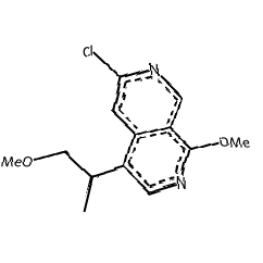 COCC(C)c1cnc(OC)c2cnc(Cl)cc12